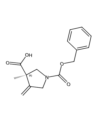 C=C1CN(C(=O)OCc2ccccc2)C[C@]1(C)C(=O)O